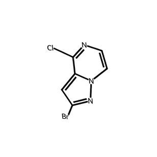 Clc1nccn2nc(Br)cc12